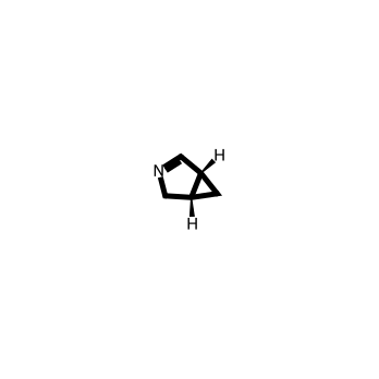 C1=NC[C@H]2C[C@@H]12